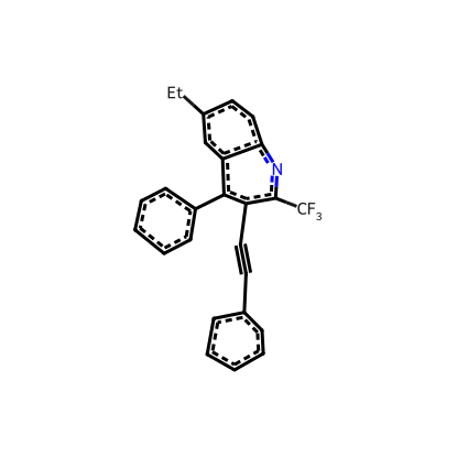 CCc1ccc2nc(C(F)(F)F)c(C#Cc3ccccc3)c(-c3ccccc3)c2c1